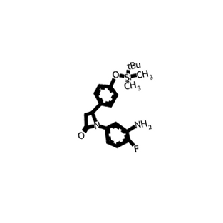 CC(C)(C)[Si](C)(C)Oc1ccc(C2CC(=O)N2c2ccc(F)c(N)c2)cc1